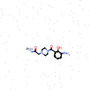 CC(C)NC(=O)CN1CCN(C(=O)c2cccc(N)c2O)CC1